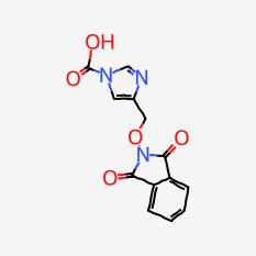 O=C1c2ccccc2C(=O)N1OCc1cn(C(=O)O)cn1